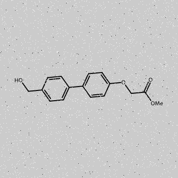 COC(=O)COc1ccc(-c2ccc(CO)cc2)cc1